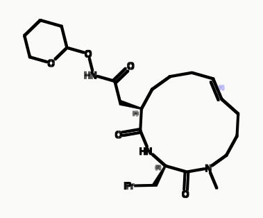 CC(C)C[C@H]1NC(=O)[C@@H](CC(=O)NOC2CCCCO2)CCC/C=C/CCCN(C)C1=O